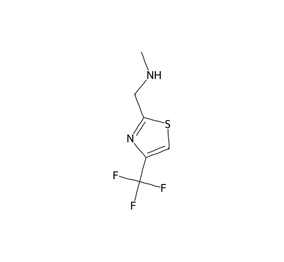 CNCc1nc(C(F)(F)F)cs1